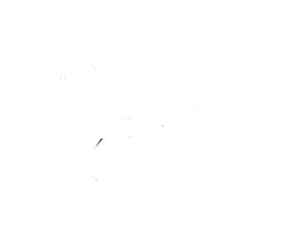 CN(C)C(=O)ON([C@@](Cc1ccccc1)(C(=O)O)C(=O)[C@H]1NCCS1)S(=O)(=O)c1ccc(F)cc1